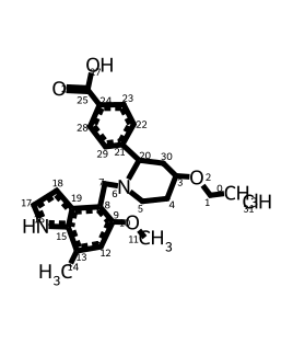 CCOC1CCN(Cc2c(OC)cc(C)c3[nH]ccc23)C(c2ccc(C(=O)O)cc2)C1.Cl